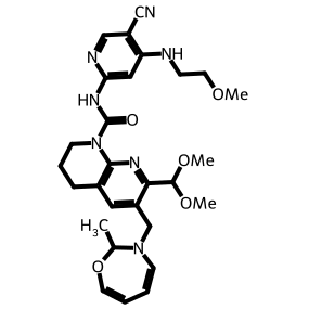 COCCNc1cc(NC(=O)N2CCCc3cc(CN4C=CC=COC4C)c(C(OC)OC)nc32)ncc1C#N